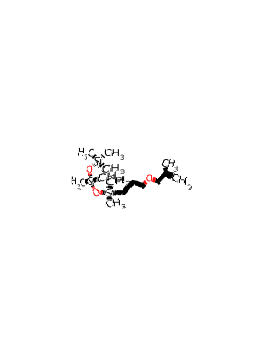 C=C(C)COCCC[Si](C)(C)O[Si](C)(C)O[Si](C)(C)C